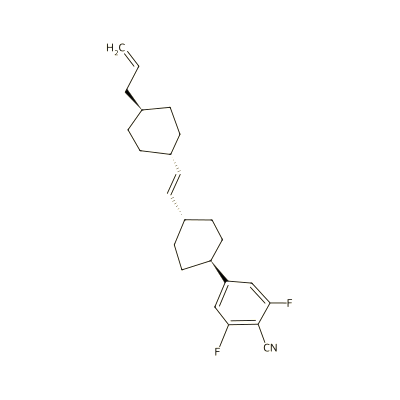 C=CC[C@H]1CC[C@H](C=C[C@H]2CC[C@H](c3cc(F)c(C#N)c(F)c3)CC2)CC1